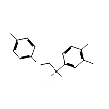 Cc1cc(C(O)(COc2ccc(Cl)cc2)C(F)(F)F)ccc1N